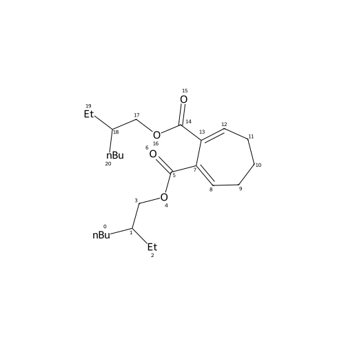 CCCCC(CC)COC(=O)C1=CCCCC=C1C(=O)OCC(CC)CCCC